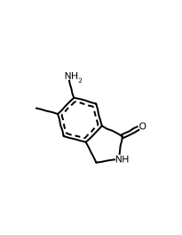 Cc1cc2c(cc1N)C(=O)NC2